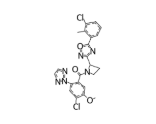 COc1cc(C(=O)N2CCC2c2noc(-c3cccc(Cl)c3C)n2)c(-n2nccn2)cc1Cl